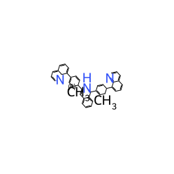 CC1=C(C2NC(C3C=CC(c4cccc5cccnc45)=C[C@H]3C)=Cc3ccccc32)C=CC(c2cccc3cccnc23)C1